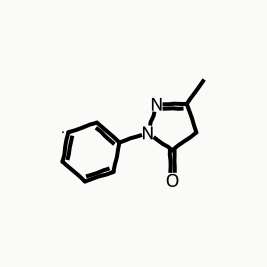 CC1=NN(c2c[c]ccc2)C(=O)C1